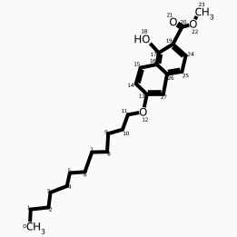 CCCCCCCCCCCCOc1ccc2c(O)c(C(=O)OC)ccc2c1